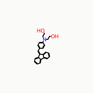 OCCN(CCO)c1ccc(C=C2c3ccccc3-c3ccccc32)cc1